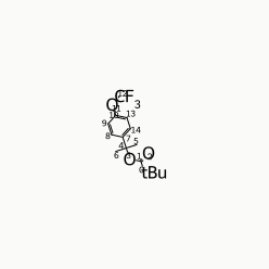 CC(C)(C)C(=O)OC(C)(C)c1ccc(OC(F)(F)F)cc1